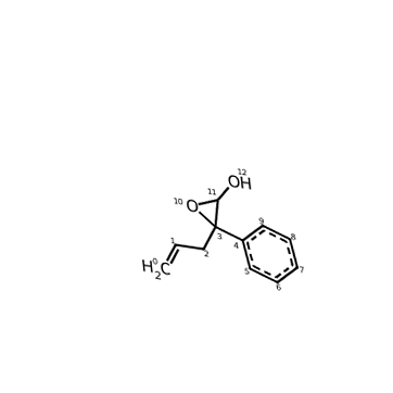 C=CCC1(c2ccccc2)OC1O